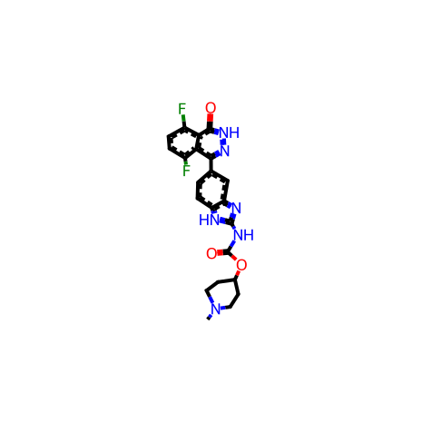 CN1CCC(OC(=O)Nc2nc3cc(-c4n[nH]c(=O)c5c(F)ccc(F)c45)ccc3[nH]2)CC1